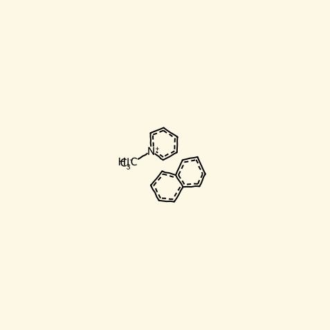 C[n+]1ccccc1.[Cl-].c1ccc2ccccc2c1